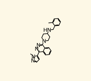 Cc1ccccc1CNC1CCN(c2nnc(-c3ccnn3C)c3ccccc23)CC1